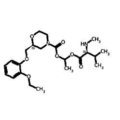 CCOc1ccccc1OC[C@@H]1CN(C(=O)OC(C)OC(=O)[C@@H](NC)C(C)C)CCO1